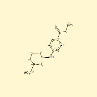 CC(=O)OCC(=O)c1ccc(N[C@@H]2CCCN(C(=O)O)C2)cc1